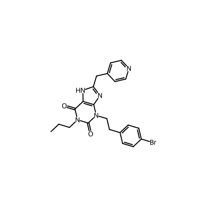 CCCn1c(=O)c2[nH]c(Cc3ccncc3)nc2n(CCc2ccc(Br)cc2)c1=O